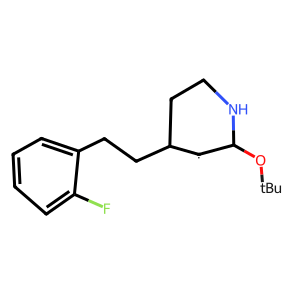 CC(C)(C)OC1[CH]C(CCc2ccccc2F)CCN1